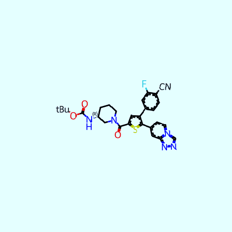 CC(C)(C)OC(=O)N[C@@H]1CCCN(C(=O)c2cc(-c3ccc(C#N)c(F)c3)c(-c3ccn4cnnc4c3)s2)C1